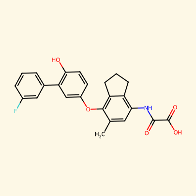 Cc1cc(NC(=O)C(=O)O)c2c(c1Oc1ccc(O)c(-c3cccc(F)c3)c1)CCC2